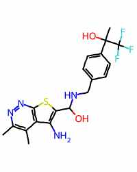 Cc1nnc2sc(C(O)NCc3ccc(C(C)(O)C(F)(F)F)cc3)c(N)c2c1C